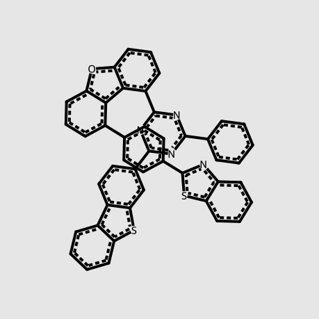 c1ccc(-c2nc(-c3ccc4c(c3)sc3ccccc34)nc(-c3cccc4oc5cccc(-c6ccc(-c7nc8ccccc8s7)cc6)c5c34)n2)cc1